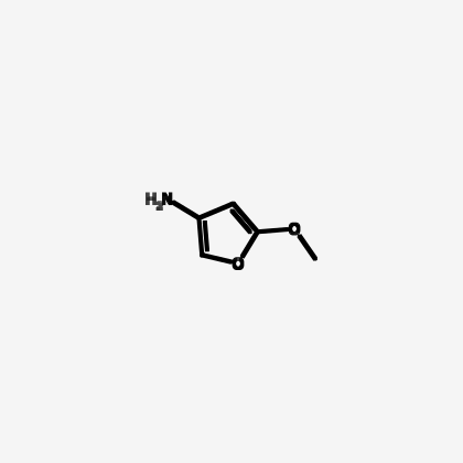 COc1cc(N)co1